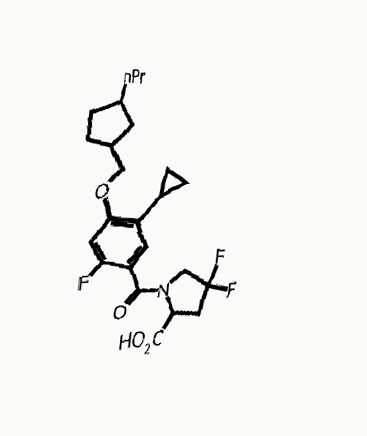 CCCC1CCC(COc2cc(F)c(C(=O)N3CC(F)(F)CC3C(=O)O)cc2C2CC2)C1